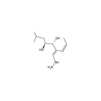 C/C=C\C(=C/NN)[C@@H](O)[C@@H](O)CC(C)C